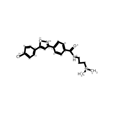 CN(C)CCCNC(=O)c1ccc(-c2cc(-c3ccc(Cl)cc3)on2)cc1